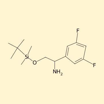 CC(C)(C)[Si](C)(C)OCC(N)c1cc(F)cc(F)c1